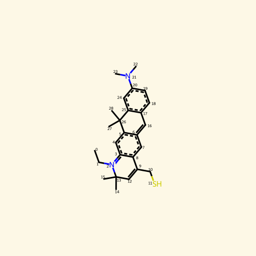 CC[N+]1=c2cc3c(cc2C(CS)=CC1(C)C)=Cc1ccc(N(C)C)cc1C3(C)C